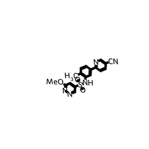 COc1cc(S(=O)(=O)Nc2cc(-c3ccc(C#N)cn3)ccc2C)cnn1